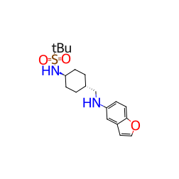 CC(C)(C)S(=O)(=O)N[C@H]1CC[C@H](CNc2ccc3occc3c2)CC1